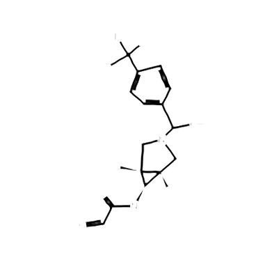 C=CC(=O)N[C@H]1[C@@H]2CN(C(C)c3ccc(C(F)(F)F)cc3)C[C@@H]21